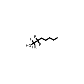 CCCCCC(F)(F)C(O)(O)F